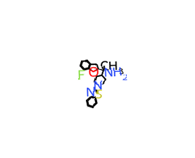 CC(N)(C1CCN(c2nc3ccccc3s2)CC1)C1Cc2cccc(F)c2O1